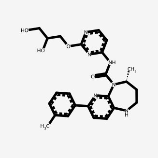 Cc1cccc(-c2ccc3c(n2)N(C(=O)Nc2ccnc(OCC(O)CO)n2)[C@H](C)CCN3)c1